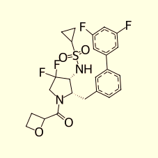 O=C(C1CCO1)N1CC(F)(F)[C@H](NS(=O)(=O)C2CC2)[C@@H]1Cc1cccc(-c2cc(F)cc(F)c2)c1